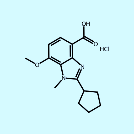 COc1ccc(C(=O)O)c2nc(C3CCCC3)n(C)c12.Cl